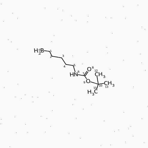 BCCCCCNC(=O)OC(C)(C)C